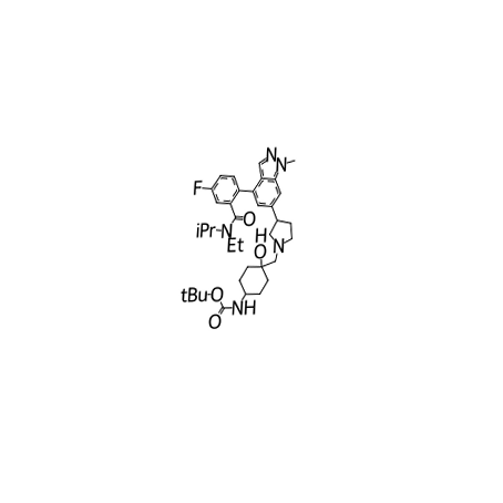 CCN(C(=O)c1cc(F)ccc1-c1cc(C2CCN(CC3(O)CCC(NC(=O)OC(C)(C)C)CC3)C2)cc2c1cnn2C)C(C)C